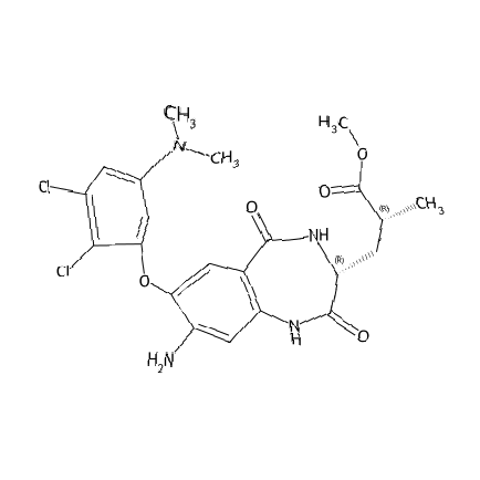 COC(=O)[C@H](C)C[C@H]1NC(=O)c2cc(Oc3cc(N(C)C)cc(Cl)c3Cl)c(N)cc2NC1=O